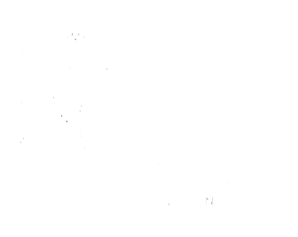 COC(=O)C1(Cl)CC2CCC1N(CCc1c[nH]c3ccccc13)C2